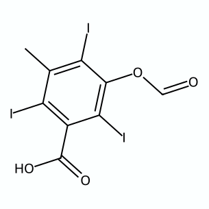 Cc1c(I)c(OC=O)c(I)c(C(=O)O)c1I